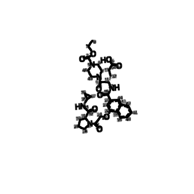 CCOC(=O)N1CCN(C(=O)[C@H](CCC(=O)O)NC(=O)c2cc(OCC(=O)N3CCC[C@H]3C(=O)NC3CC3)c3ccccc3c2)CC1